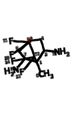 CC12C(N)CC(CC1N)C(F)(F)C2(F)F